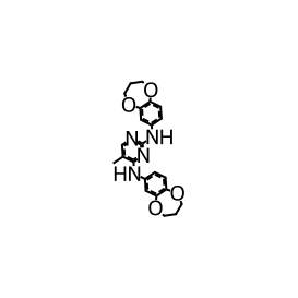 Cc1cnc(Nc2ccc3c(c2)OCCCO3)nc1Nc1ccc2c(c1)OCCCO2